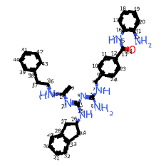 C=C(/N=C(\N=C(/N)NCc1ccc(C(=O)Nc2ccccc2N)cc1)NC1Cc2ccccc2C1)NCCc1ccccc1